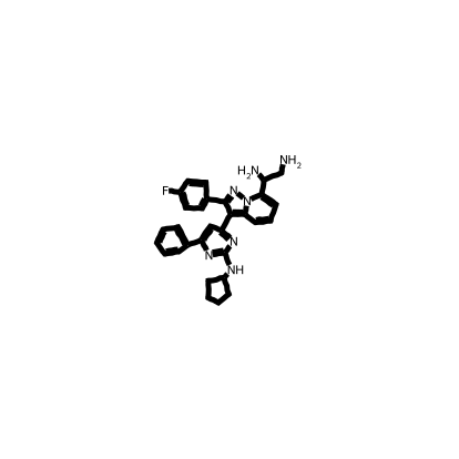 NCC(N)c1cccc2c(-c3cc(-c4ccccc4)nc(NC4CCCC4)n3)c(-c3ccc(F)cc3)nn12